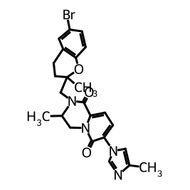 Cc1cn(-c2ccc3n(c2=O)CC(C)N(CC2(C)CCc4cc(Br)ccc4O2)C3=O)cn1